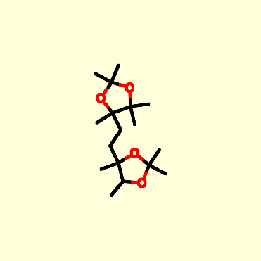 CC1OC(C)(C)OC1(C)CCC1(C)OC(C)(C)OC1(C)C